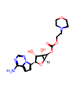 Nc1ncnn2c([C@@H]3O[C@@H]4C(OC(=O)OCCN5CCOCC5)[C@]4(O)[C@H]3O)ccc12